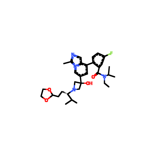 CCN(C(=O)c1cc(F)ccc1-c1cc(C2(O)CN([C@@H](CCC3OCCO3)C(C)C)C2)cn2c(C)ncc12)C(C)C